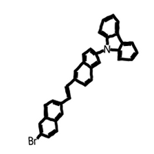 Brc1ccc2cc(/C=C/c3ccc4cc(-n5c6ccccc6c6ccccc65)ccc4c3)ccc2c1